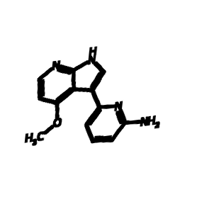 COc1ccnc2[nH]cc(-c3cccc(N)n3)c12